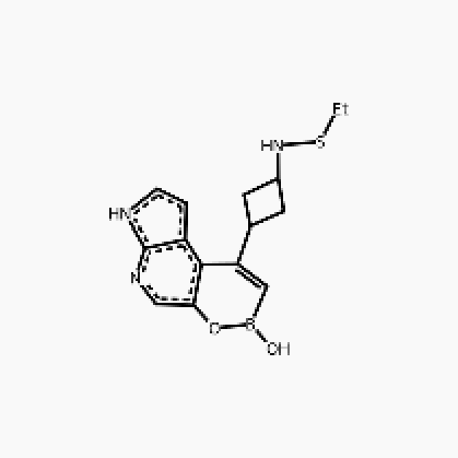 CCSNC1CC(C2=CB(O)Oc3cnc4[nH]ccc4c32)C1